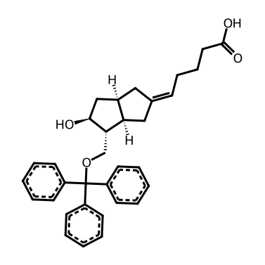 O=C(O)CCC/C=C1\C[C@@H]2C[C@H](O)[C@@H](COC(c3ccccc3)(c3ccccc3)c3ccccc3)[C@@H]2C1